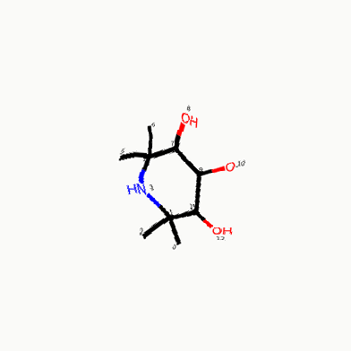 CC1(C)NC(C)(C)C(O)C([O])C1O